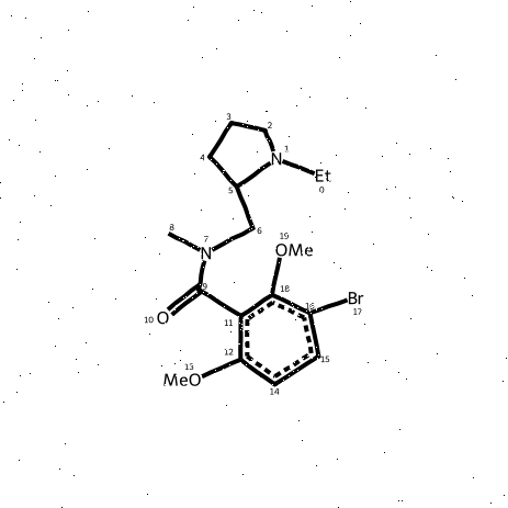 CCN1CCCC1CN(C)C(=O)c1c(OC)ccc(Br)c1OC